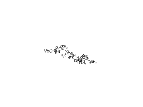 COc1ccc(C2=CN3C(=O)c4cc(OC)c(OCCCOc5cc6c(cc5OC)C(=O)N5C=C(c7cccc(NC(=O)[C@H](C)NC(=O)[C@@H](C(C)C)C(CCCCC(N)=O)N8C(=O)C=CC8=O)c7)C[C@H]5C=N6)cc4N=C[C@@H]3C2)cc1